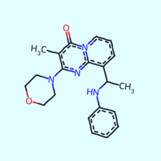 Cc1c(N2CCOCC2)nc2c(C(C)Nc3ccccc3)cccn2c1=O